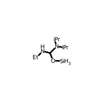 CCNC(O[SiH3])N(C(C)C)C(C)C